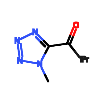 CC(C)C(=O)c1nnnn1C